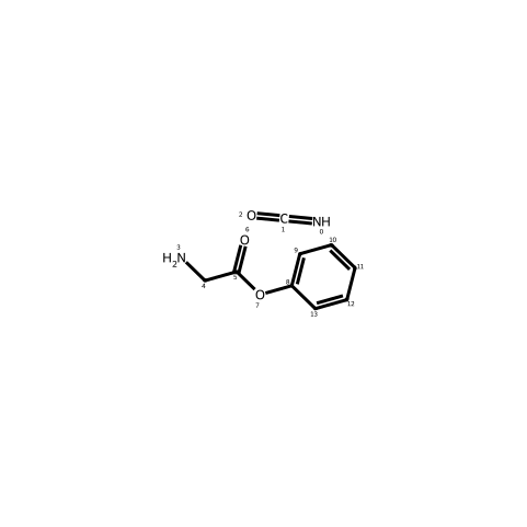 N=C=O.NCC(=O)Oc1ccccc1